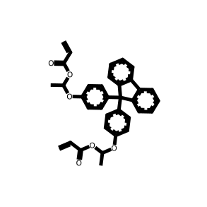 C=CC(=O)OC(C)Oc1ccc(C2(c3ccc(OC(C)OC(=O)C=C)cc3)c3ccccc3-c3ccccc32)cc1